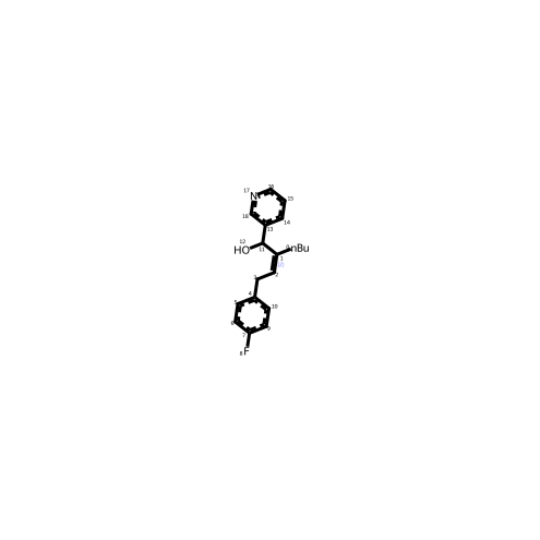 CCCC/C(=C/Cc1ccc(F)cc1)C(O)c1cccnc1